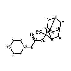 CCC1(OC(=O)CN2CCSCC2)C2CC3CC(C2)CC1C3